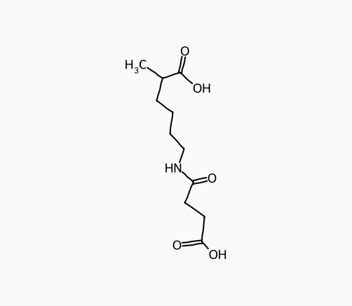 CC(CCCCNC(=O)CCC(=O)O)C(=O)O